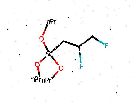 CCCO[Si](CC(F)CF)(OCCC)OCCC